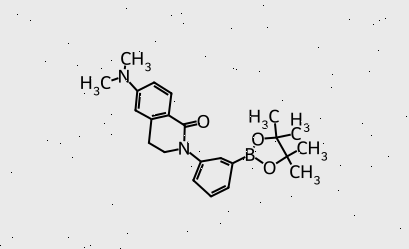 CN(C)c1ccc2c(c1)CCN(c1cccc(B3OC(C)(C)C(C)(C)O3)c1)C2=O